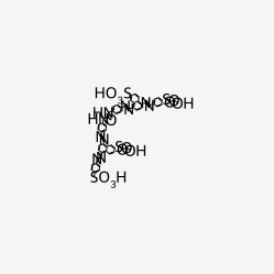 O=C(Nc1ccc(N=Nc2ccc(N=Nc3ccc(S(=O)(=O)O)cc3)c3ccc(SOOO)cc23)cc1)Nc1ccc(N=Nc2ccc(N=Nc3ccc(SOOO)cc3)c3ccc(S(=O)(=O)O)cc23)cc1